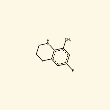 Cc1cc(F)cc2c1NCC[CH]2